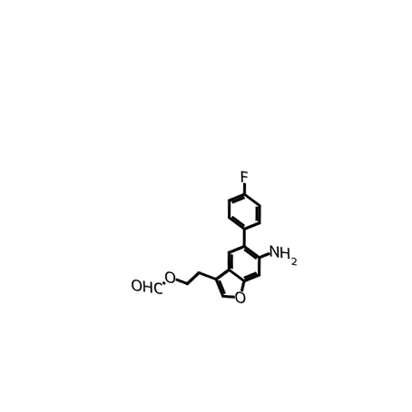 Nc1cc2occ(CCOC=O)c2cc1-c1ccc(F)cc1